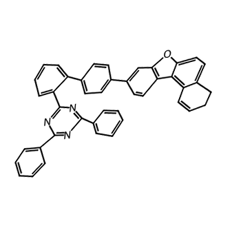 C1=Cc2c(ccc3oc4cc(-c5ccc(-c6ccccc6-c6nc(-c7ccccc7)nc(-c7ccccc7)n6)cc5)ccc4c23)CC1